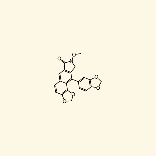 CON1Cc2c(cc3ccc4c(c3c2-c2ccc3c(c2)OCO3)OCO4)C1=O